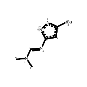 CN(C)/C=N/c1cc(C(C)(C)C)n[nH]1